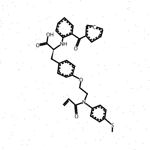 C=CC(=O)N(CCOc1ccc(C[C@H](Nc2ccccc2C(=O)c2ccccc2)C(=O)O)cc1)c1ccc(SC)cc1